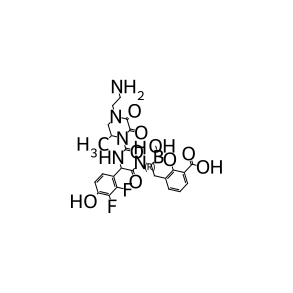 CC1CN(CCN)C(=O)C(=O)N1C(=O)NC(C(=O)N[C@H]1Cc2cccc(C(=O)O)c2OB1O)c1ccc(O)c(F)c1F